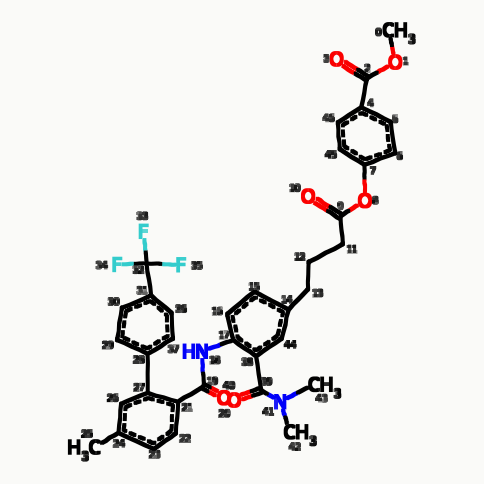 COC(=O)c1ccc(OC(=O)CCCc2ccc(NC(=O)c3ccc(C)cc3-c3ccc(C(F)(F)F)cc3)c(C(=O)N(C)C)c2)cc1